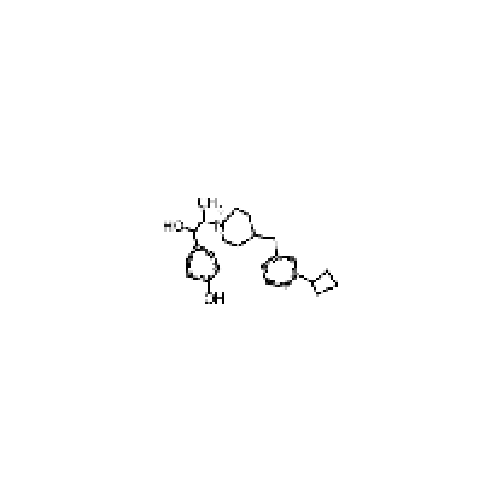 CC(C(O)c1ccc(O)cc1)N1CCC(Cc2cccc(C3CCC3)c2)CC1